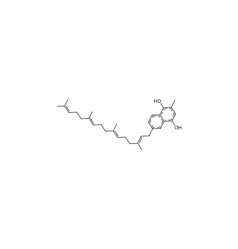 CC(C)=CCC/C(C)=C/CC/C(C)=C/CC/C(C)=C/Cc1ccc2c(O)c(C)cc(O)c2c1